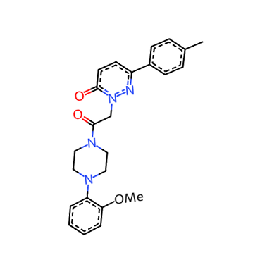 COc1ccccc1N1CCN(C(=O)Cn2nc(-c3ccc(C)cc3)ccc2=O)CC1